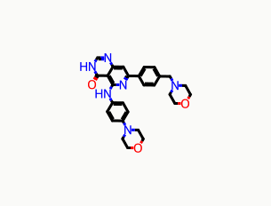 O=c1[nH]cnc2cc(-c3ccc(CN4CCOCC4)cc3)nc(Nc3ccc(N4CCOCC4)cc3)c12